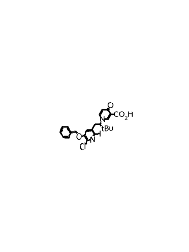 CC(C)(C)C(Cc1cc(OCc2ccccc2)c(Cl)nc1I)n1ccc(=O)c(C(=O)O)c1